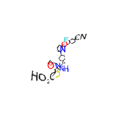 N#Cc1ccc(COc2cccc(C3CCC4(CC3)CC4C3Nc4sc(C(=O)O)cc4N3CC3CCO3)n2)c(F)c1